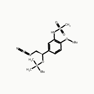 CCCCOc1ccc([C@H](CN=[N+]=[N-])O[Si](C)(C)C(C)(C)C)cc1NS(C)(=O)=O